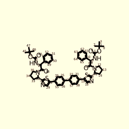 CC(C)(C)OC(=O)N[C@@H](C(=O)N1CCC[C@@H]1c1ncc(-c2ccc(-c3ccc(-c4cnc([C@H]5CCCN5C(=O)[C@H](NC(=O)OC(C)(C)C)c5ccccc5)s4)cc3)cc2)s1)c1ccccc1